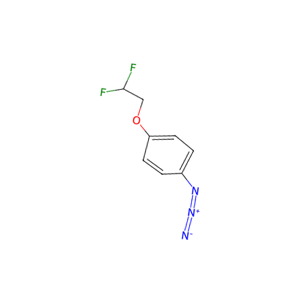 [N-]=[N+]=Nc1ccc(OCC(F)F)cc1